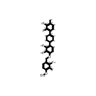 CCOc1ccc(COc2ccc(C3CC=C(c4ccc(C)c(F)c4F)CC3)c(F)c2F)c(F)c1F